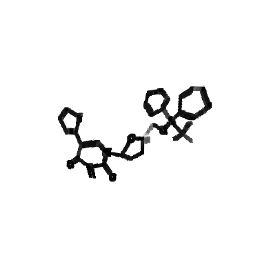 CC(C)(C)[Si](OC[C@@H]1CCC(n2cc(-c3cccs3)c(=O)[nH]c2=O)O1)(c1ccccc1)c1ccccc1